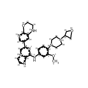 COc1cc(Nc2nc(-c3cnc4c(c3)NCCO4)cn3ccnc23)ccc1N1CCN(C2COC2)CC1